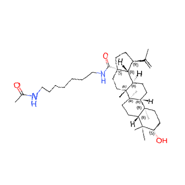 C=C(C)[C@@H]1CC[C@]2(C(=O)NCCCCCCCNC(C)=O)CC[C@]3(C)[C@H](CC[C@@H]4[C@@]5(C)CC[C@H](O)C(C)(C)[C@@H]5CC[C@]43C)[C@@H]12